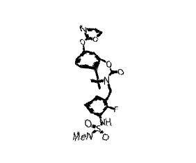 CNS(=O)(=O)Nc1cccc(CN2C(=O)Oc3cc(Oc4ncco4)ccc3C2(C)C)c1F